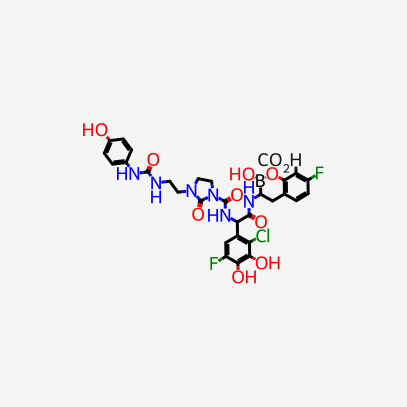 O=C(NCCN1CCN(C(=O)NC(C(=O)NC2Cc3ccc(F)c(C(=O)O)c3OB2O)c2cc(F)c(O)c(O)c2Cl)C1=O)Nc1ccc(O)cc1